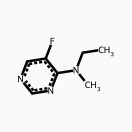 CCN(C)c1ncncc1F